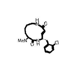 CN[C@H]1CCCCNC(=O)/C=C/[C@H](Cc2ccccc2Cl)NC1=O